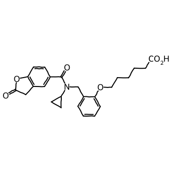 O=C(O)CCCCCOc1ccccc1CN(C(=O)c1ccc2c(c1)CC(=O)O2)C1CC1